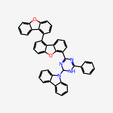 c1ccc(C2=NC(c3cccc4c3oc3cccc(-c5cccc6oc7ccccc7c56)c34)=NC(n3c4ccccc4c4ccccc43)N2)cc1